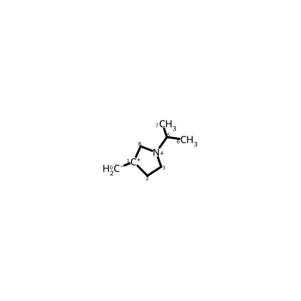 [CH2-][C+]1CCN(C(C)C)C1